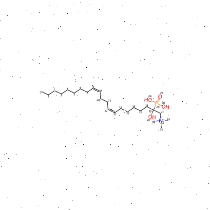 CCCCCCCC/C=C\CC/C=C\CCCCCC(O)(C[N+](C)(C)C)P(=O)(O)O